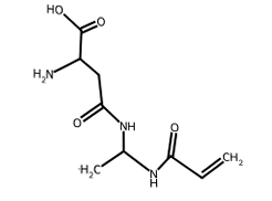 [CH2]C(NC(=O)C=C)NC(=O)CC(N)C(=O)O